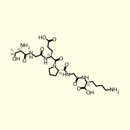 C[C@@H](O)[C@H](N)C(=O)NCC(=O)N[C@@H](CCC(=O)O)C(=O)N1CCC[C@H]1C(=O)NCC(=O)N[C@@H](CCCCN)C(=O)O